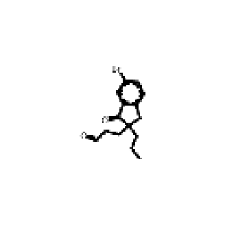 CCCC1(CCC=O)Cc2ccc(Br)cc2C1=O